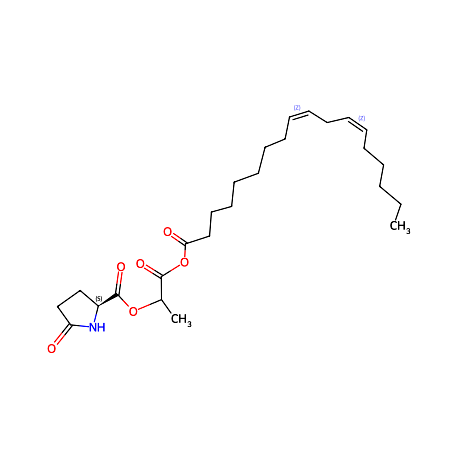 CCCCC/C=C\C/C=C\CCCCCCCC(=O)OC(=O)C(C)OC(=O)[C@@H]1CCC(=O)N1